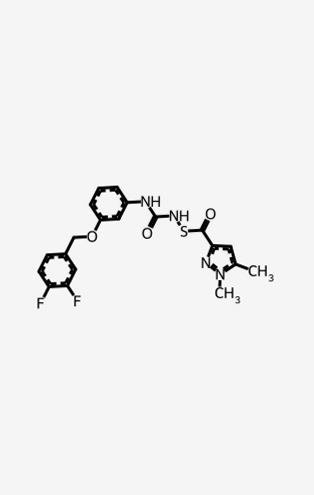 Cc1cc(C(=O)SNC(=O)Nc2cccc(OCc3ccc(F)c(F)c3)c2)nn1C